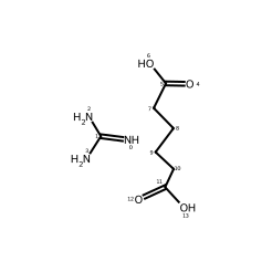 N=C(N)N.O=C(O)CCCCC(=O)O